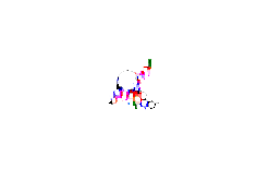 Cc1ccc2nc(C(F)(F)F)c3c(c2c1)CC[C@]1(C[C@H]2C(=O)N[C@]4(C(=O)N[S+]([O-])C5(C)CC5)C[C@H]4/C=C\CCCCC[C@H](NC(=O)OC(C)(C)C(F)(F)F)C(=O)N2C1)O3